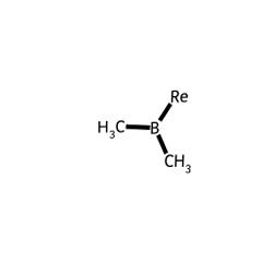 C[B](C)[Re]